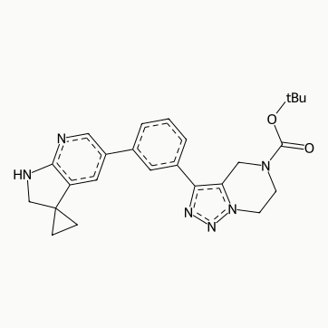 CC(C)(C)OC(=O)N1CCn2nnc(-c3cccc(-c4cnc5c(c4)C4(CC4)CN5)c3)c2C1